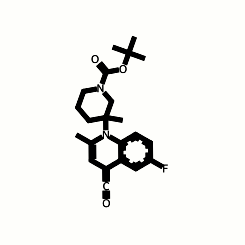 CC1=CC(=C=O)c2cc(F)ccc2N1C1(C)CCCN(C(=O)OC(C)(C)C)C1